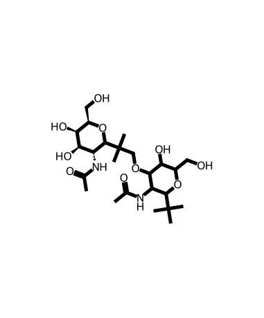 CC(=O)NC1C(OCC(C)(C)C2O[C@H](CO)[C@H](O)[C@H](O)[C@H]2NC(C)=O)C(O)C(CO)OC1C(C)(C)C